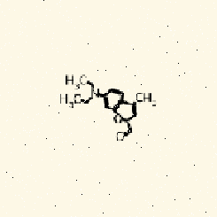 CCN(CC)c1ccc2c(c1)OC(C=O)C=C2C